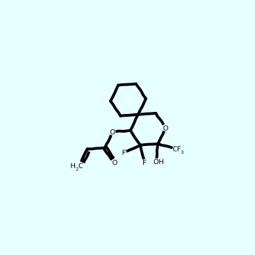 C=CC(=O)OC1C2(CCCCC2)COC(O)(C(F)(F)F)C1(F)F